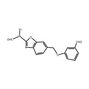 CCN(C=O)c1nc2ccc(COc3cccc(C=O)c3)cc2o1